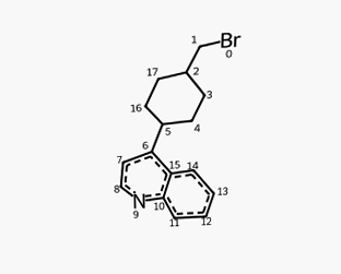 BrCC1CCC(c2ccnc3ccccc23)CC1